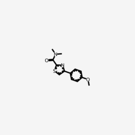 COc1ccc(-c2csc(C(=O)N(C)C)n2)cc1